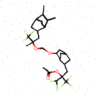 CC(=O)OC(CC1CC2CC(OCOC(C)(CC3CC4CC3C(C)C4C)C(F)(F)F)C1C2)(C(F)F)C(F)(F)F